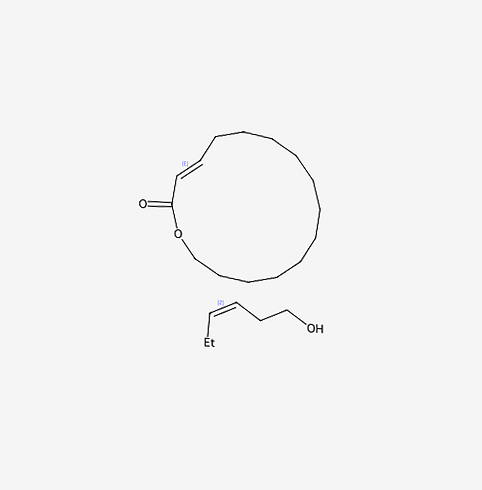 CC/C=C\CCO.O=C1/C=C/CCCCCCCCCCCCO1